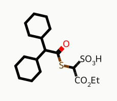 CCOC(=O)C(SC(=O)C(C1CCCCC1)C1CCCCC1)S(=O)(=O)O